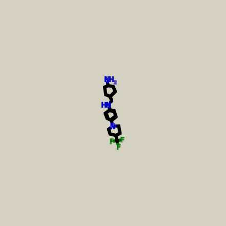 NC1CCC(CNc2ccc(N3CCC(C(F)(F)F)CC3)cc2)CC1